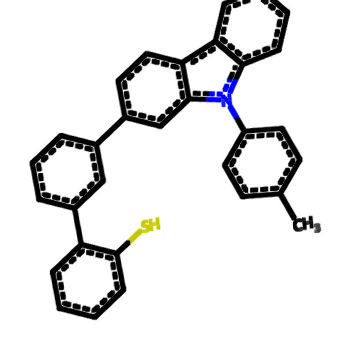 Cc1ccc(-n2c3ccccc3c3ccc(-c4cccc(-c5ccccc5S)c4)cc32)cc1